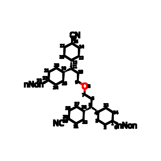 CCCCCCCCC[C@H]1CC[C@H](C(CCOCCC([C@H]2CC[C@H](C#N)CC2)[C@H]2CC[C@H](CCCCCCCCC)CC2)[C@H]2CC[C@H](C#N)CC2)CC1